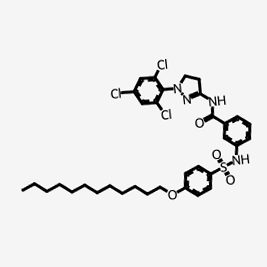 CCCCCCCCCCCCOc1ccc(S(=O)(=O)Nc2cccc(C(=O)NC3=NN(c4c(Cl)cc(Cl)cc4Cl)CC3)c2)cc1